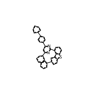 c1ccc(-c2ccc(-c3cc(-c4ccccc4)nc(-c4cccc5sc6ccc(-c7ccccc7)cc6c45)n3)cc2)cc1